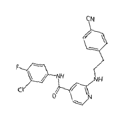 N#Cc1ccc(CCNc2cc(C(=O)Nc3ccc(F)c(Cl)c3)ccn2)cc1